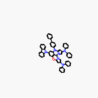 c1ccc(-c2ccc(N3c4cc(-n5c6ccccc6c6ccccc65)cc5c4B(n4cc(N(c6ccccc6)c6ccccc6)cc4O5)n4cc(N(c5ccccc5)c5ccccc5)cc43)cc2)cc1